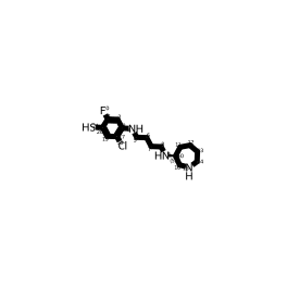 Fc1cc(NCCCCN[C@H]2CCCCNC2)c(Cl)cc1S